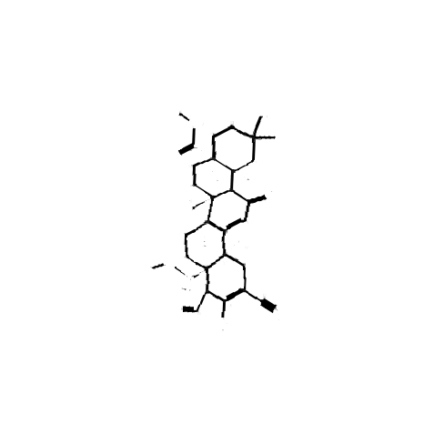 CON[C@@]12CC[C@]3(C)C(=CC(=O)[C@@H]4[C@@H]5CC(C)(C)CC[C@]5(C(=O)OC)CC[C@]43C)[C@@]1(C)CC(C#N)=C(O)[C@@]2(C)C=O